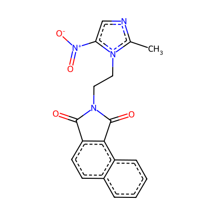 Cc1ncc([N+](=O)[O-])n1CCN1C(=O)c2ccc3ccccc3c2C1=O